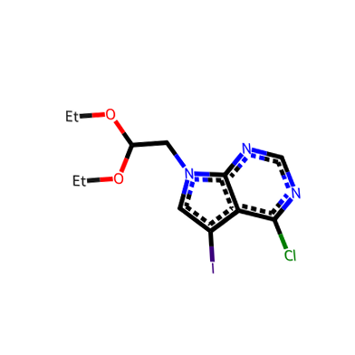 CCOC(Cn1cc(I)c2c(Cl)ncnc21)OCC